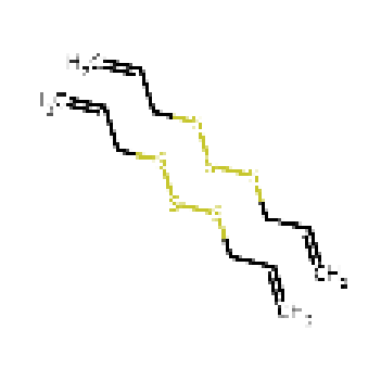 C=CCSSSCC=C.C=CCSSSCC=C